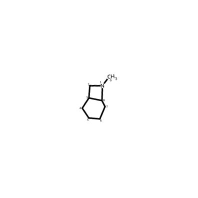 CN1CC2CCCCC21